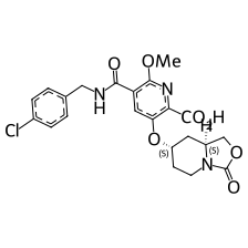 COc1nc(C(=O)O)c(O[C@H]2CCN3C(=O)OC[C@@H]3C2)cc1C(=O)NCc1ccc(Cl)cc1